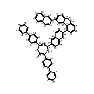 CC1=C(c2ccc(-c3ccccc3)cc2)NC(c2ccc3cc(-c4cccc5oc6ccc(-c7ccc8ccccc8c7)cc6c45)ccc3c2)N=C(c2ccc(-c3ccccc3)cc2)C1